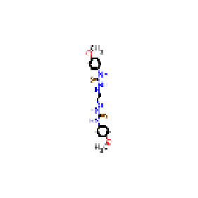 COc1ccc(NC(=S)N/N=C/C=N/NC(=S)Nc2ccc(OC)cc2)cc1